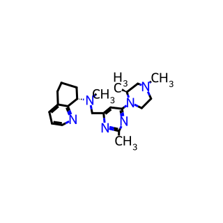 Cc1nc(CN(C)[C@H]2CCCc3cccnc32)cc(N2CCN(C)C[C@@H]2C)n1